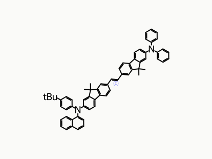 CC(C)(C)c1ccc(N(c2ccc3c(c2)C(C)(C)c2cc(/C=C/c4ccc5c(c4)C(C)(C)c4cc(N(c6ccccc6)c6ccccc6)ccc4-5)ccc2-3)c2cccc3ccccc23)cc1